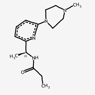 CCC(=O)N[C@@H](C)c1cccc(N2CCN(C)CC2)n1